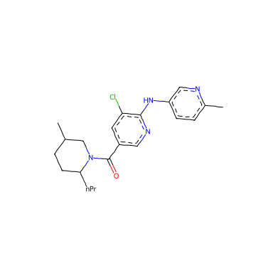 CCCC1CCC(C)CN1C(=O)c1cnc(Nc2ccc(C)nc2)c(Cl)c1